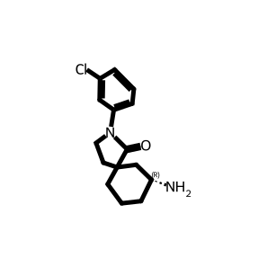 N[C@@H]1CCCC2(CCN(c3cccc(Cl)c3)C2=O)C1